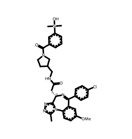 COc1ccc2c(c1)C(c1ccc(Cl)cc1)=N[C@@H](CC(=O)NCC1CCN(C(=O)c3cccc([Si](C)(C)O)c3)C1)c1nnc(C)n1-2